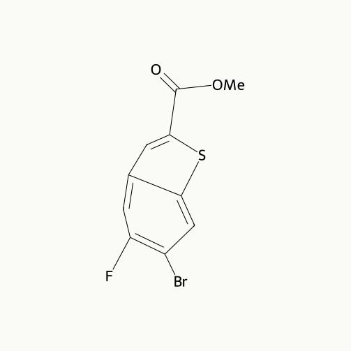 COC(=O)c1cc2cc(F)c(Br)cc2s1